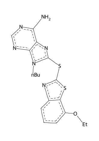 CCCCn1c(Sc2nc3cccc(OCC)c3s2)nc2c(N)ncnc21